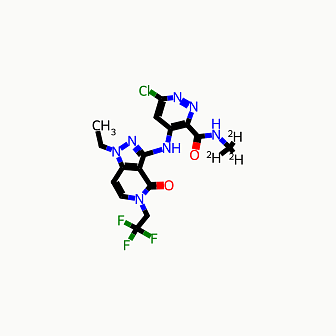 [2H]C([2H])([2H])NC(=O)c1nnc(Cl)cc1Nc1nn(CC)c2ccn(CC(F)(F)F)c(=O)c12